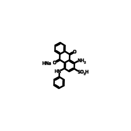 Nc1c(S(=O)(=O)O)cc(Nc2ccccc2)c2c1C(=O)c1ccccc1C2=O.[NaH]